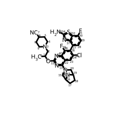 CC(CN1CCC(C#N)CC1)Oc1nc(N2CC3CCC(C2)N3)c2cc(Cl)c(-c3ccc(F)c4sc(N)nc34)c(F)c2n1